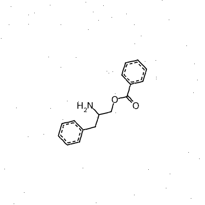 NC(COC(=O)c1ccccc1)Cc1ccccc1